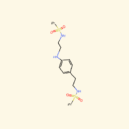 CC(C)S(=O)(=O)NCCNc1ccc(CCNS(=O)(=O)C(C)C)cc1